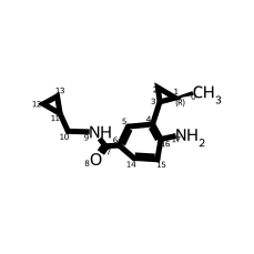 C[C@@H]1CC1c1cc(C(=O)NCC2CC2)ccc1N